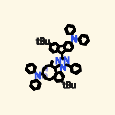 C=C1/C=C\C(N(c2ccccc2)c2ccccc2)=C/Cc2cc(C(C)(C)C)ccc2C1c1nc(-c2ccccc2)nc(C2c3ccc(N(c4ccccc4)c4ccccc4)cc3-c3cc(C(C)(C)C)ccc32)n1